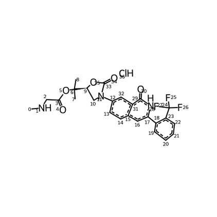 CNCC(=O)OC(C)(C)[C@@H]1CN(c2ccc3cc(-c4ccccc4C(F)(F)F)[nH]c(=O)c3c2)C(=O)O1.Cl